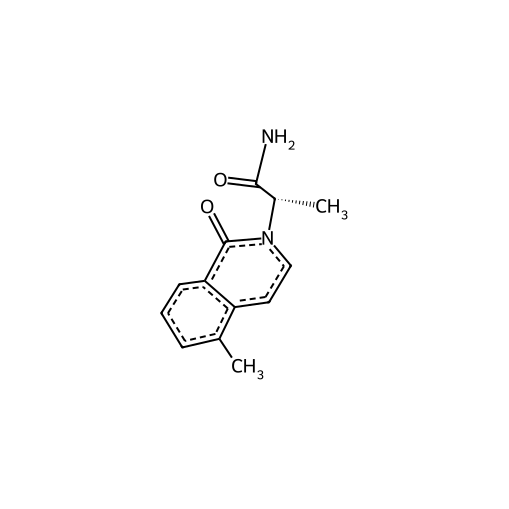 Cc1cccc2c(=O)n([C@@H](C)C(N)=O)ccc12